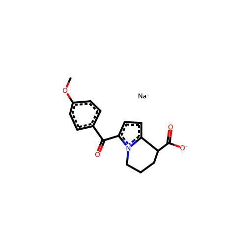 COc1ccc(C(=O)c2ccc3n2CCCC3C(=O)[O-])cc1.[Na+]